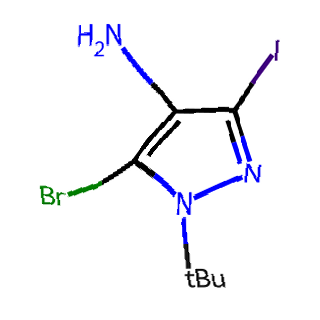 CC(C)(C)n1nc(I)c(N)c1Br